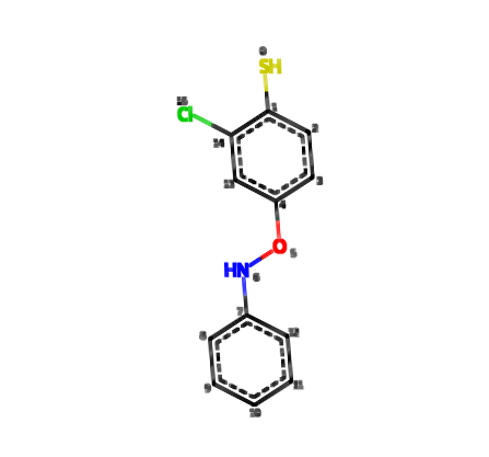 Sc1ccc(ONc2ccccc2)cc1Cl